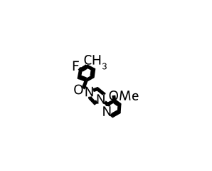 COc1cccnc1N1CCN(C(=O)c2ccc(C)c(F)c2)CC1